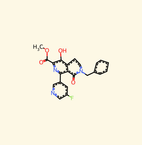 COC(=O)c1nc(-c2cncc(F)c2)c2c(=O)n(Cc3ccccc3)ccc2c1O